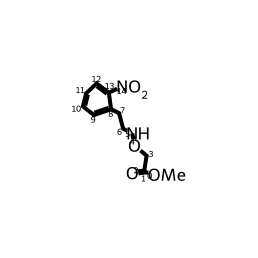 COC(=O)CONCCc1ccccc1[N+](=O)[O-]